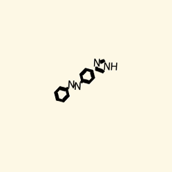 c1c[nH]cn1.c1ccc(N=Nc2ccccc2)cc1